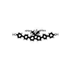 CCCCCCC(F)(F)C(F)(F)C1(C(F)(F)C(F)(F)CCCCCC)c2cc(-c3ccc(-c4ccc(O)cc4)cc3)ccc2-c2ccc(-c3ccc(-c4ccc(O)cc4)cc3)cc21